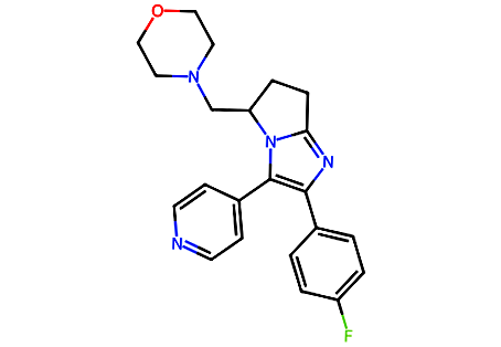 Fc1ccc(-c2nc3n(c2-c2ccncc2)C(CN2CCOCC2)CC3)cc1